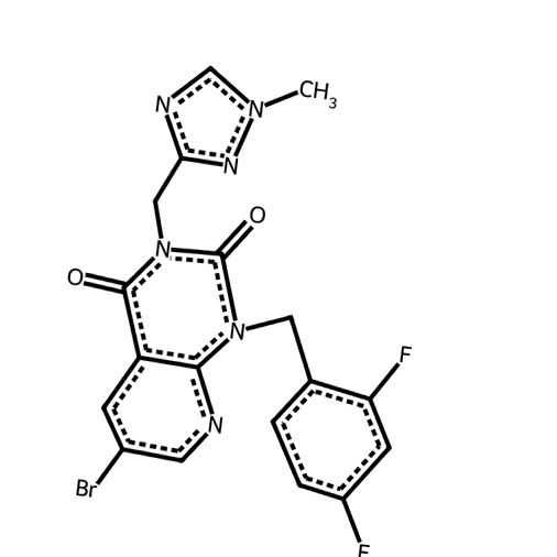 Cn1cnc(Cn2c(=O)c3cc(Br)cnc3n(Cc3ccc(F)cc3F)c2=O)n1